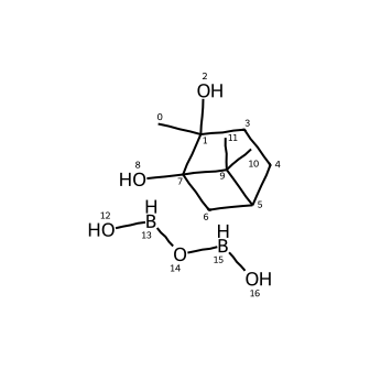 CC1(O)CCC2CC1(O)C2(C)C.OBOBO